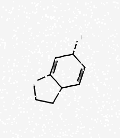 CC1C=CC2CCOC2=C1